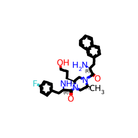 C[C@@H]1CN(C(=O)[C@H](N)Cc2ccc(F)cc2)[C@@H](CCCO)CN1C(=O)[C@H](N)Cc1ccc2ccccc2c1